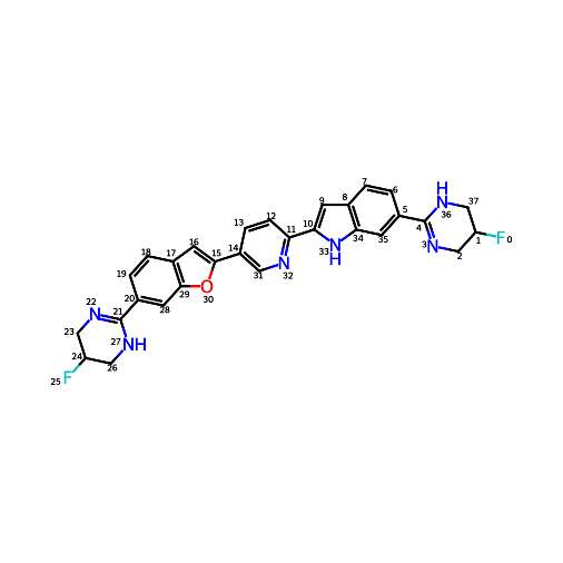 FC1CN=C(c2ccc3cc(-c4ccc(-c5cc6ccc(C7=NCC(F)CN7)cc6o5)cn4)[nH]c3c2)NC1